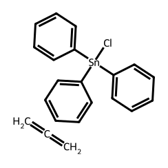 C=C=C.[Cl][Sn]([c]1ccccc1)([c]1ccccc1)[c]1ccccc1